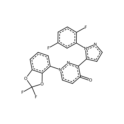 O=c1ccn(-c2cccc3c2OC(F)(F)O3)nc1-c1ccnn1-c1cc(F)ccc1F